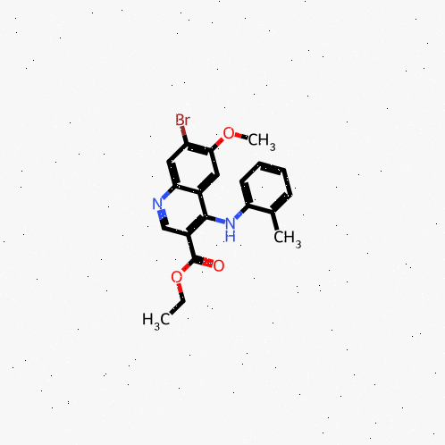 CCOC(=O)c1cnc2cc(Br)c(OC)cc2c1Nc1ccccc1C